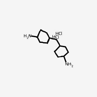 Cl.Cl.NC1CCC(CC2CCC(N)CC2)CC1